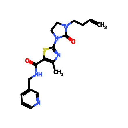 C=CCCN1CCN(c2nc(C)c(C(=O)NCc3cccnc3)s2)C1=O